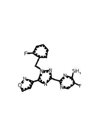 Fc1ccccc1Cn1nc(-c2ncc(F)c([SiH3])n2)nc1-c1ccon1